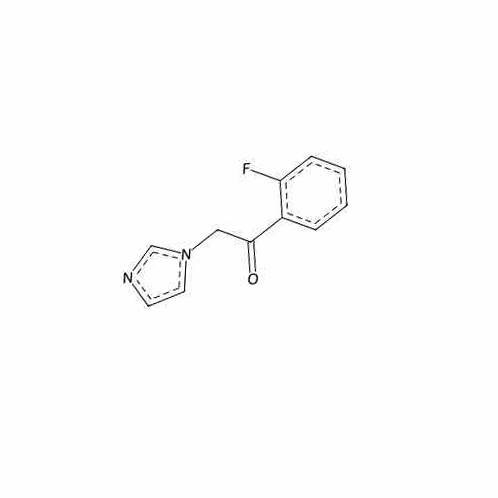 O=C(Cn1ccnc1)c1ccccc1F